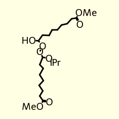 COC(=O)CCCCCCCC(O)OOC(CCCCCCCC(=O)OC)OC(C)C